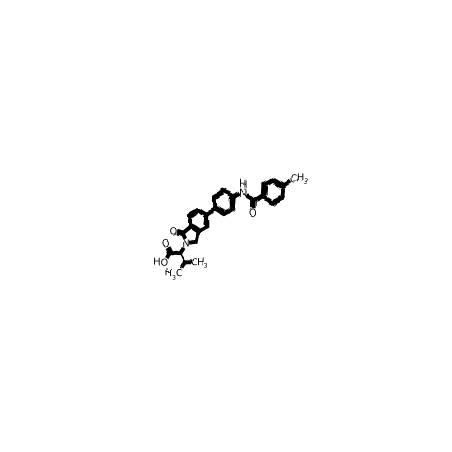 Cc1ccc(C(=O)Nc2ccc(-c3ccc4c(c3)CN([C@H](C(=O)O)C(C)C)C4=O)cc2)cc1